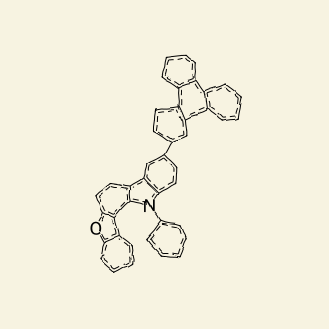 c1ccc(-n2c3ccc(-c4ccc5c6ccccc6c6ccccc6c5c4)cc3c3ccc4oc5ccccc5c4c32)cc1